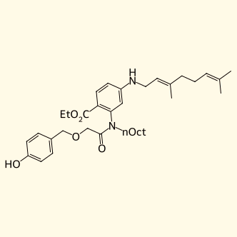 CCCCCCCCN(C(=O)COCc1ccc(O)cc1)c1cc(NC/C=C(\C)CCC=C(C)C)ccc1C(=O)OCC